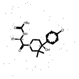 CCCCC(=O)N[C@@H](C(=O)N1CC[C@](O)(c2ccc(Cl)cc2)C(C)(C)C1)C(C)C